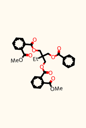 CCC(COC(=O)c1ccccc1)(COC(=O)c1ccccc1C(=O)OC)COC(=O)c1ccccc1C(=O)OC